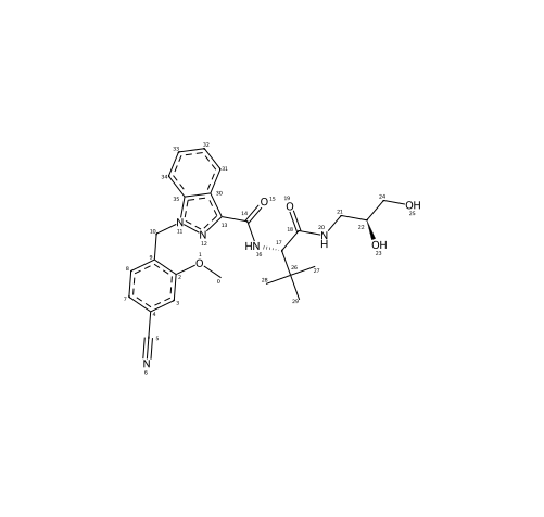 COc1cc(C#N)ccc1Cn1nc(C(=O)N[C@H](C(=O)NC[C@H](O)CO)C(C)(C)C)c2ccccc21